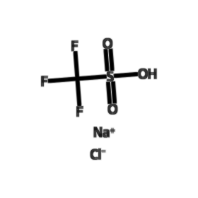 O=S(=O)(O)C(F)(F)F.[Cl-].[Na+]